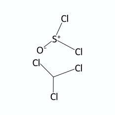 ClC(Cl)Cl.[O-][S+](Cl)Cl